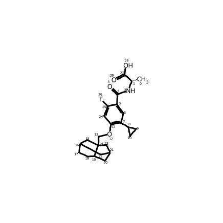 C[C@H](NC(=O)c1cc(C2CC2)c(OCC23CC4CCC2CC(C4)C3)cc1F)C(=O)O